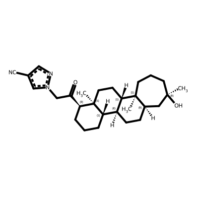 C[C@@]1(O)CCC[C@@]2(C)[C@H](CC[C@@H]3[C@@H]2CC[C@]2(C)[C@H](C(=O)Cn4cc(C#N)cn4)CCC[C@@H]32)C1